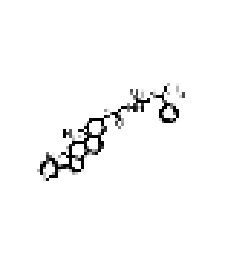 CC(NCC(=O)NCC(=O)OC1CCC2(C)C(=CCC3C2CCC2(C)C(c4cccnc4)=CCC32)C1)c1ccccc1